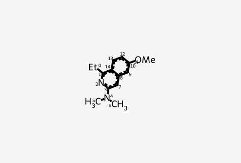 CCc1nc(N(C)C)cc2cc(OC)ccc12